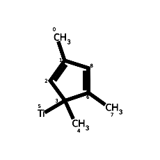 CC1=C[C](C)([Ti])C(C)=C1